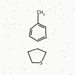 C1CCSC1.Cc1ccccc1